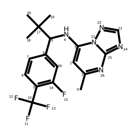 Cc1cc(NC(c2ccc(C(F)(F)F)c(F)c2)C(C)(C)C)n2ncnc2n1